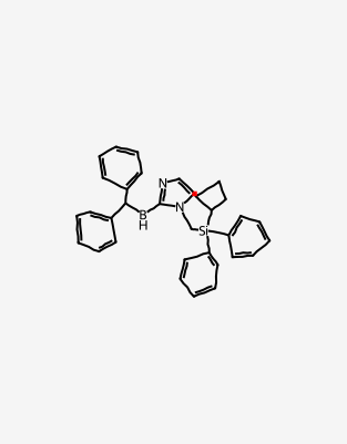 B(c1nccn1C[Si](c1ccccc1)(c1ccccc1)C1CCC1)C(c1ccccc1)c1ccccc1